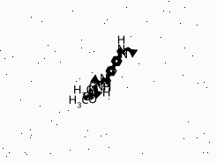 COC(=O)N(C)C1(C(=O)N[C@H](c2nc(-c3ccc(-c4ccc(-c5c[nH]c(CC6CC6)n5)cc4)cc3)c[nH]2)C2CC2)CC1